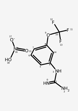 N=C(N)Nc1cccc(OC(F)(F)F)c1.O=[N+]([O-])O